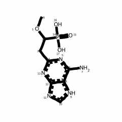 COC(Cc1nc(N)c2[nH]cnc2n1)P(=O)(O)O